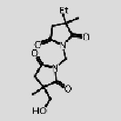 CCC1(C)CC(=O)N(CN2C(=O)CC(C)(CO)C2=O)C1=O